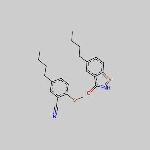 CCCCc1ccc(SC)c(C#N)c1.CCCCc1ccc2s[nH]c(=O)c2c1